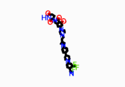 COc1cc(N2CCN(CCC3CN(c4ccc(C5CCN(c6ccc(C#N)c(C(F)(F)F)c6)CC5)cc4)C3)CC2)cc2c1C(=O)N(C1CCC(=O)NC1=O)C2